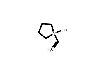 C=C[N+]1(C)CCCC1